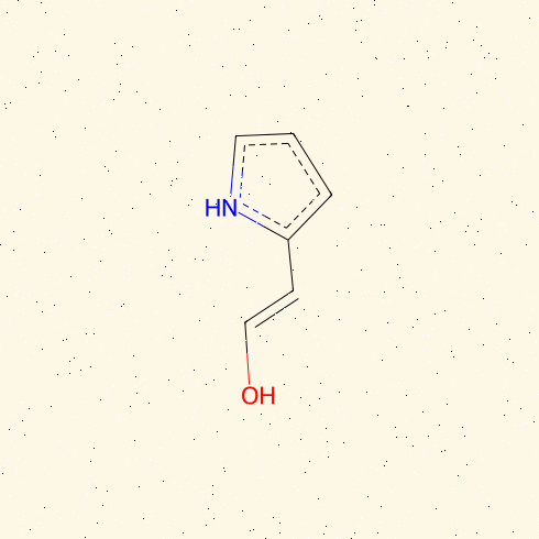 OC=Cc1ccc[nH]1